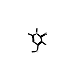 COc1cc(C)n(C)c(=O)c1C